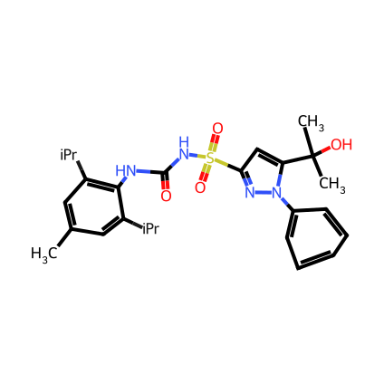 Cc1cc(C(C)C)c(NC(=O)NS(=O)(=O)c2cc(C(C)(C)O)n(-c3ccccc3)n2)c(C(C)C)c1